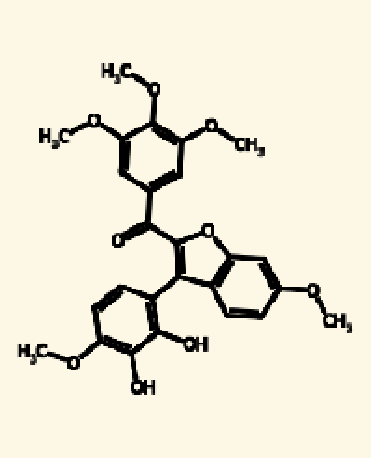 COc1ccc2c(-c3ccc(OC)c(O)c3O)c(C(=O)c3cc(OC)c(OC)c(OC)c3)oc2c1